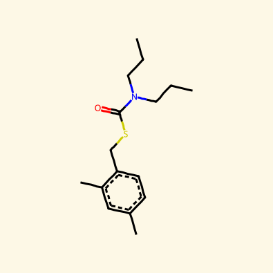 CCCN(CCC)C(=O)SCc1ccc(C)cc1C